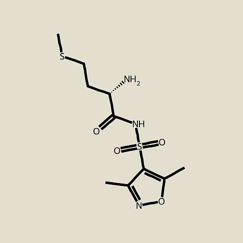 CSCC[C@H](N)C(=O)NS(=O)(=O)c1c(C)noc1C